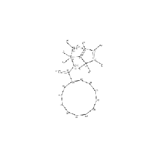 CC1=C(C)C(C)(C)[C]([Ti]([CH3])([CH3])([NH]C(=O)C2CCCCCCCCCCC2)[SiH](C)C)=C1C